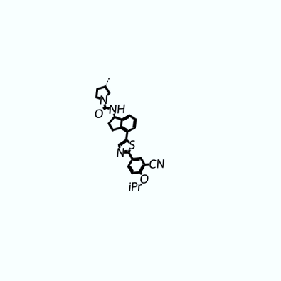 CC(C)Oc1ccc(-c2ncc(-c3cccc4c3CC[C@H]4NC(=O)N3CC[C@H](C)C3)s2)cc1C#N